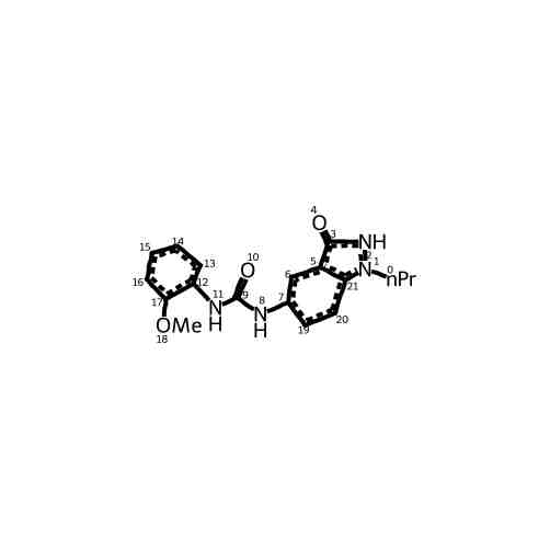 CCCn1[nH]c(=O)c2cc(NC(=O)Nc3ccccc3OC)ccc21